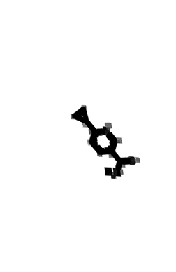 NC(=O)c1ccc(C2CC2)nc1